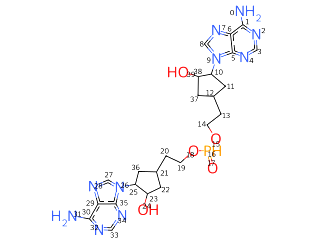 Nc1ncnc2c1ncn2C1CC(CCO[PH](=O)OCCC2CC(O)C(n3cnc4c(N)ncnc43)C2)CC1O